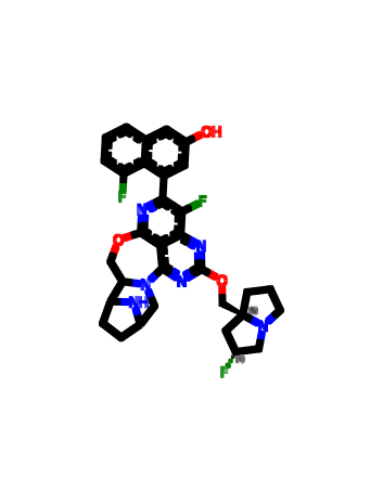 Oc1cc(-c2nc3c4c(nc(OC[C@@]56CCCN5C[C@H](F)C6)nc4c2F)N2CC4CCC(N4)C2CO3)c2c(F)cccc2c1